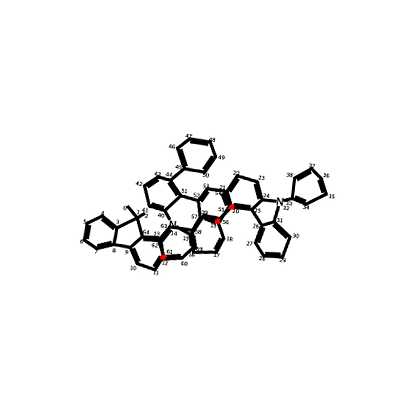 CC1(C)c2ccccc2-c2cccc(N(c3cccc(-c4cccc5c4c4ccccc4n5-c4ccccc4)c3)c3cccc(-c4ccccc4)c3-c3ccccc3-c3ccccc3)c21